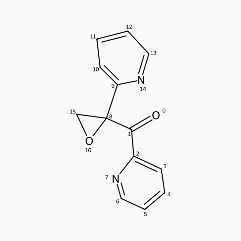 O=C(c1ccccn1)C1(c2ccccn2)CO1